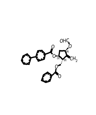 C=C1[C@H](OC=O)C[C@H](OC(=O)c2ccc(-c3ccccc3)cc2)[C@H]1COC(=O)c1ccccc1